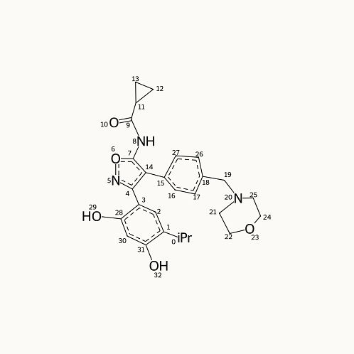 CC(C)c1cc(-c2noc(NC(=O)C3CC3)c2-c2ccc(CN3CCOCC3)cc2)c(O)cc1O